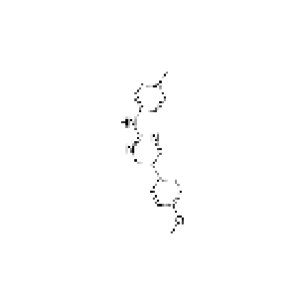 COc1ccc(-c2cnc(Nc3ccc(C)cc3)nc2)cc1